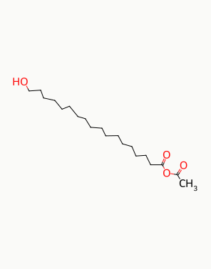 CC(=O)OC(=O)CCCCCCCCCCCCCCCCCO